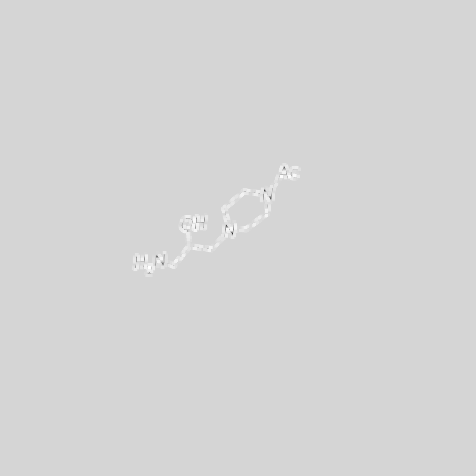 CC(=O)N1CCN(C[C@@H](O)CN)CC1